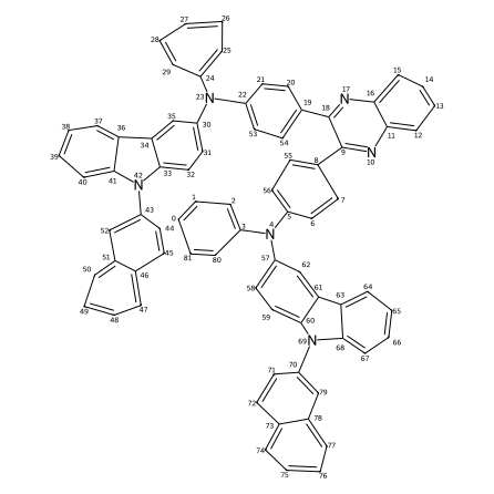 c1ccc(N(c2ccc(-c3nc4ccccc4nc3-c3ccc(N(c4ccccc4)c4ccc5c(c4)c4ccccc4n5-c4ccc5ccccc5c4)cc3)cc2)c2ccc3c(c2)c2ccccc2n3-c2ccc3ccccc3c2)cc1